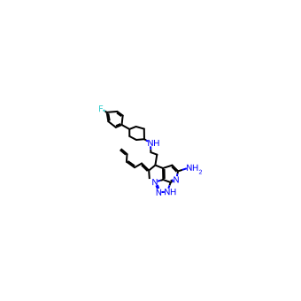 C=C/C=C\C=C(/C)C(CCNC1CCC(c2ccc(F)cc2)CC1)c1cc(N)nc2[nH]nnc12